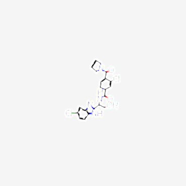 O=C(NC(CO)c1nc2cc(Cl)ccc2[nH]1)C1C=C(Cl)C(C(=O)N2CC=CC2)=CC1